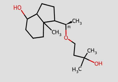 C[C@@H](OCCC(C)(C)O)C1CCC2C(O)CCCC21C